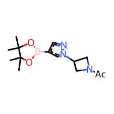 CC(=O)N1CC(n2cc(B3OC(C)(C)C(C)(C)O3)cn2)C1